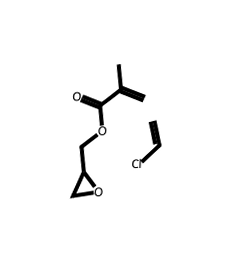 C=C(C)C(=O)OCC1CO1.C=CCl